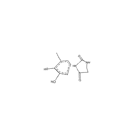 Cc1cccc(O)c1O.O=C1CNC(=O)N1